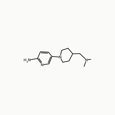 CN(C)CC1CCN(c2ccc(N)nc2)CC1